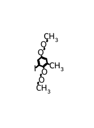 CCOCOc1cc(C)c(OCOCC)c(I)c1